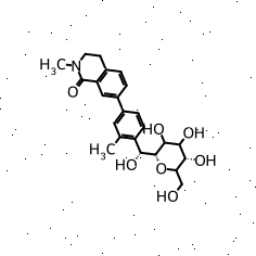 Cc1cc(-c2ccc3c(c2)C(=O)N(C)CC3)ccc1[C@@H](O)[C@H]1OC(CO)[C@@H](O)C(O)C1O